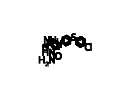 NC(=O)Nc1cn(-c2ccc(Sc3ccc(Cl)cc3)cc2)nc1C(N)=O